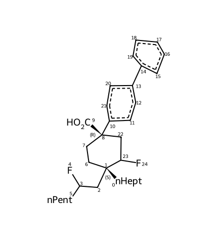 CCCCCCC[C@@]1(CC(F)CCCCC)CC[C@](C(=O)O)(c2ccc(-c3ccccc3)cc2)CC1F